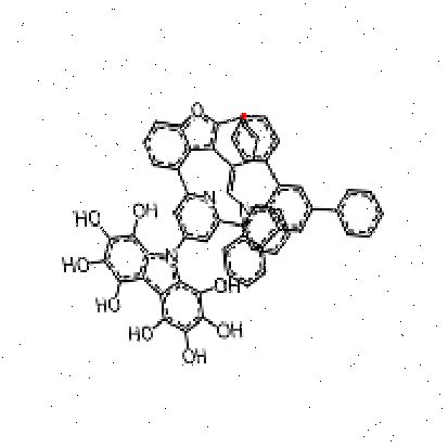 Oc1c(O)c(O)c2c(c1O)c1c(O)c(O)c(O)c(O)c1n2-c1cc(-c2ccccc2)nc(-c2cccc3oc4c(c23)C(=Cn2c3ccccc3c3cc(-c5ccccc5)cc(-c5ccccc5)c32)CC=C4)c1